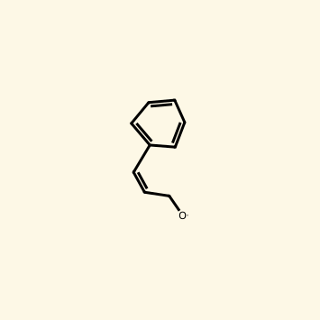 [O]C/C=C\c1ccccc1